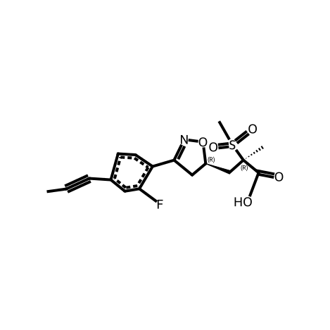 CC#Cc1ccc(C2=NO[C@@H](C[C@](C)(C(=O)O)S(C)(=O)=O)C2)c(F)c1